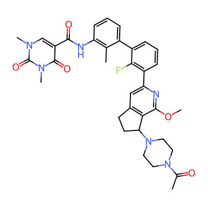 COc1nc(-c2cccc(-c3cccc(NC(=O)c4cn(C)c(=O)n(C)c4=O)c3C)c2F)cc2c1C(N1CCN(C(C)=O)CC1)CC2